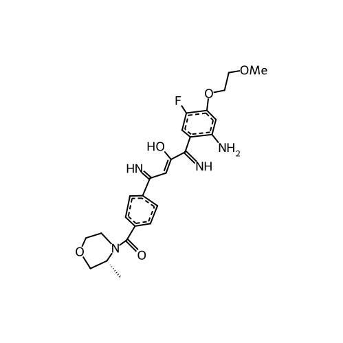 COCCOc1cc(N)c(C(=N)/C(O)=C/C(=N)c2ccc(C(=O)N3CCOC[C@H]3C)cc2)cc1F